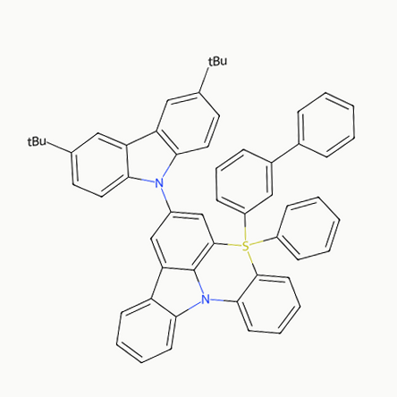 CC(C)(C)c1ccc2c(c1)c1cc(C(C)(C)C)ccc1n2-c1cc2c3c(c1)c1ccccc1n3-c1ccccc1S2(c1ccccc1)c1cccc(-c2ccccc2)c1